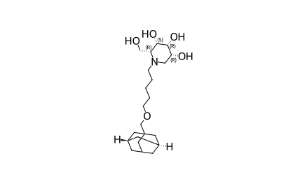 OC[C@@H]1[C@H](O)[C@H](O)[C@H](O)CN1CCCCCOCC12CC3C[C@H](C1)C[C@H](C3)C2